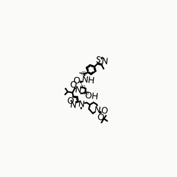 Cc1ncsc1-c1ccc([C@H](C)NC(=O)[C@@H]2C[C@@H](O)CN2C(=O)C(c2cc(N(C)CC3CCN(C(=O)OC(C)(C)C)CC3)no2)C(C)C)cc1